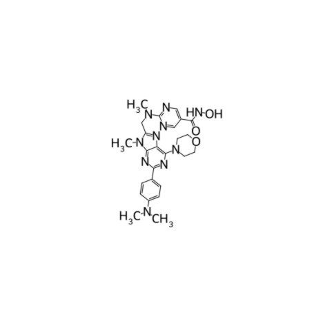 CN(C)c1ccc(-c2nc(N3CCOCC3)c3nc(CN(C)c4ncc(C(=O)NO)cn4)n(C)c3n2)cc1